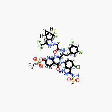 Cn1nc(NS(C)(=O)=O)c2c(Cl)ccc(-n3c(C(Cc4cc(F)cc(F)c4)NC(=O)Cn4nc(C(F)F)c5c4C(F)(F)[C@@H]4C[C@H]54)nc4nc(OS(=O)(=O)C(F)(F)F)ccc4c3=O)c21